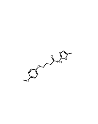 COc1ccc(OCCCC(=O)Nc2ncc(C)s2)cc1